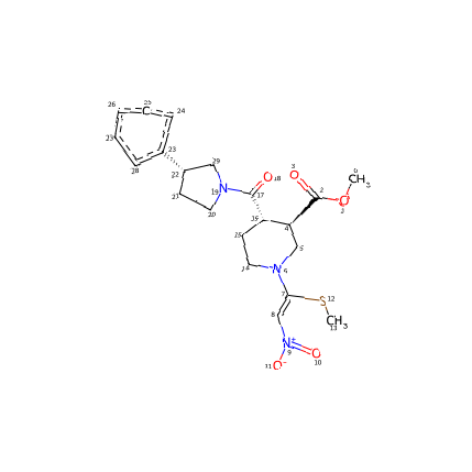 COC(=O)[C@H]1CN(/C(=C/[N+](=O)[O-])SC)CC[C@@H]1C(=O)N1CC[C@H](c2ccccc2)C1